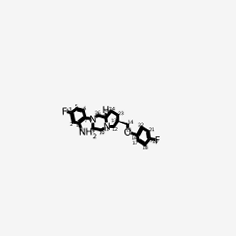 Nc1cc(F)ccc1N1CCN2C[C@H](COc3ccc(F)cc3)CC[C@H]2C1